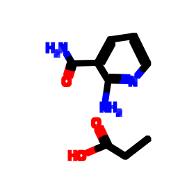 CCC(=O)O.NC(=O)c1cccnc1N